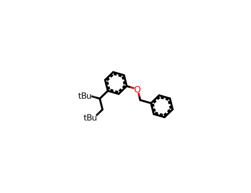 CC(C)(C)CC(c1cccc(OCc2ccccc2)c1)C(C)(C)C